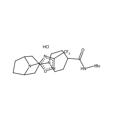 CC(C)(C)NC(=O)C1CCN(C2CC3CCC(C2)N3c2nc(C(F)(F)F)no2)CC1.Cl